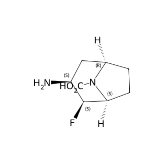 N[C@H]1C[C@H]2CC[C@@H]([C@H]1F)N2C(=O)O